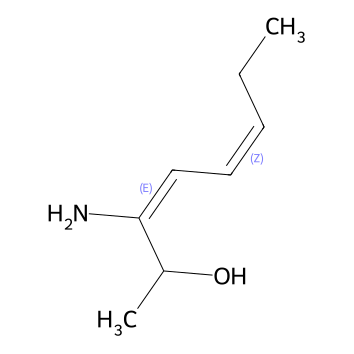 CC/C=C\C=C(\N)C(C)O